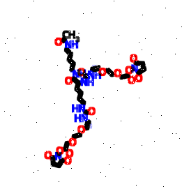 CC(=O)NCCCCCNC(=O)C(CCCCNC(=O)N/C=C\OCCOCC(=O)ON1C(=O)CCC1=O)NC(=O)N/C=C\OCCOCC(=O)ON1C(=O)CCC1=O